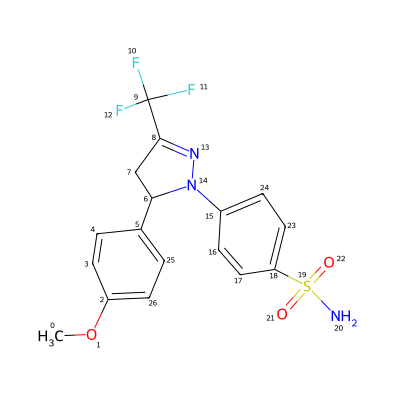 COc1ccc(C2CC(C(F)(F)F)=NN2c2ccc(S(N)(=O)=O)cc2)cc1